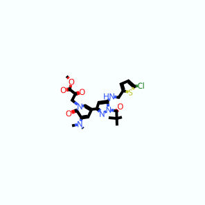 COC(=O)C(=O)Cn1cc(-c2cc(NCc3ccc(Cl)s3)n(C(=O)C(C)(C)C)n2)cc(N(C)C)c1=O